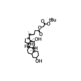 C[C@H](CCC(=O)OCC(=O)OC(C)(C)C)[C@H]1CC[C@H]2[C@@H]3CCC4CC(O)CC[C@]4(C)[C@H]3CC(O)[C@]12C